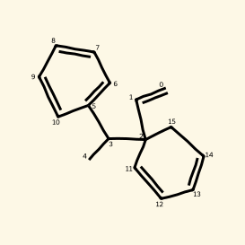 C=CC1(C(C)c2ccccc2)C=CC=CC1